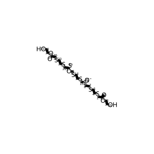 O=C(CSCCSCC[S+]([O-])CSCCSCOC(=S)CSCCSCC(=O)OCCO)OCCO